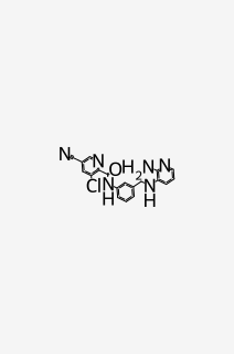 N#Cc1cnc(C(=O)Nc2cccc(CNc3cccnc3N)c2)c(Cl)c1